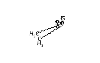 CCCCCCCCCCCCc1csc(-c2sccc2-c2sccc2-c2cccs2)c1CCCCCCCCCCCC